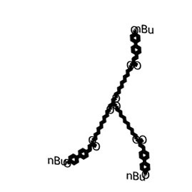 CCCCOc1ccc(-c2ccc(/C=C/C(=O)OCCCCCCCCCCOCC(COCCCCCCCCCCOC(=O)/C=C/c3ccc(-c4ccc(OCCCC)cc4)cc3)OCCCCCCCCCCOC(=O)/C=C/c3ccc(-c4ccc(OCCCC)cc4)cc3)cc2)cc1